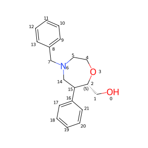 OC[C@H]1OCCN(Cc2ccccc2)CC1c1ccccc1